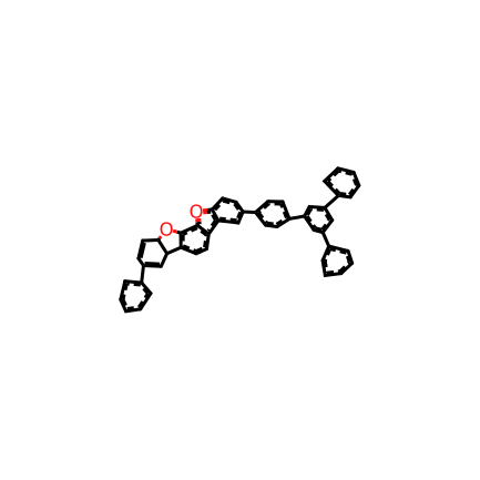 C1=CC2Oc3c(ccc4c3oc3ccc(-c5ccc(-c6cc(-c7ccccc7)cc(-c7ccccc7)c6)cc5)cc34)C2C=C1c1ccccc1